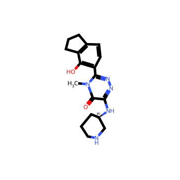 Cn1c(-c2ccc3c(c2O)CCC3)nnc(N[C@@H]2CCCNC2)c1=O